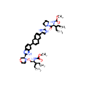 CCC(CC)[C@H](NC(=O)OC)C(=O)N1CCC[C@H]1c1ncc(-c2ccc3cc(-c4ccc5nc([C@@H]6COCCN6OC[C@@H](NC(=O)OC)C(CC)CC)[nH]c5c4)ccc3c2)[nH]1